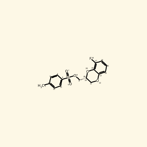 Cc1ccc(S(=O)(=O)OC[C@H]2COc3cccc(F)c3O2)cc1